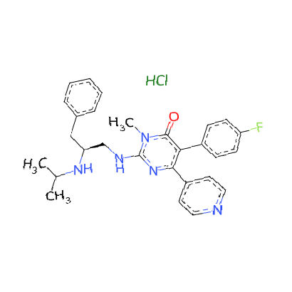 CC(C)N[C@H](CNc1nc(-c2ccncc2)c(-c2ccc(F)cc2)c(=O)n1C)Cc1ccccc1.Cl